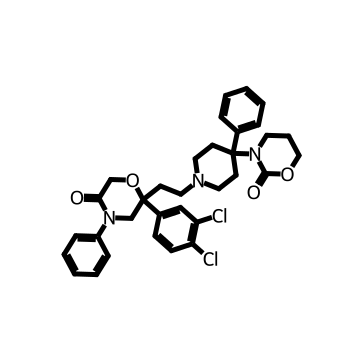 O=C1COC(CCN2CCC(c3ccccc3)(N3CCCOC3=O)CC2)(c2ccc(Cl)c(Cl)c2)CN1c1ccccc1